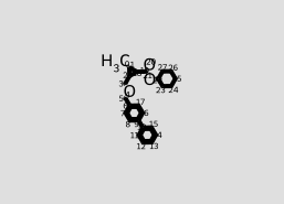 CC1C(COCc2ccc(-c3ccccc3)cc2)C1C(=O)OC1CCCCC1